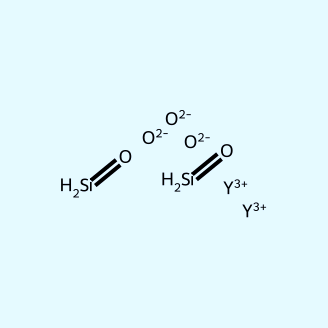 O=[SiH2].O=[SiH2].[O-2].[O-2].[O-2].[Y+3].[Y+3]